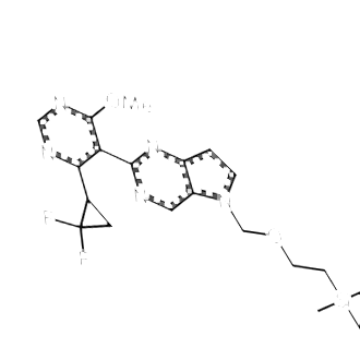 COc1ncnc(C2CC2(F)F)c1-c1ncc2c(ccn2COCC[Si](C)(C)C)n1